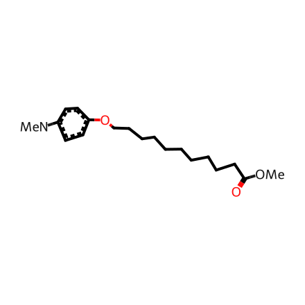 CNc1ccc(OCCCCCCCCCCC(=O)OC)cc1